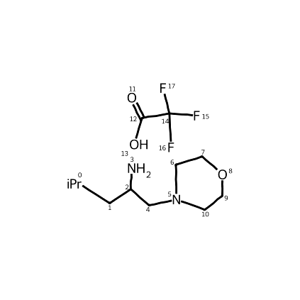 CC(C)CC(N)CN1CCOCC1.O=C(O)C(F)(F)F